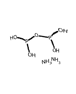 N.N.OP(O)OP(O)O